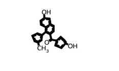 Cc1cccc(-c2c(C(=O)c3ccc(O)cc3)ccc3cc(O)ccc23)c1